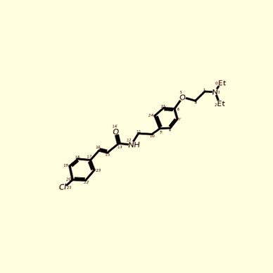 CCN(CC)CCOc1ccc(CCNC(=O)C=Cc2ccc(Cl)cc2)cc1